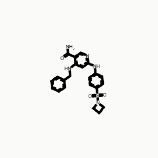 NC(=O)c1cnc(Nc2ccc(S(=O)(=O)N3CCC3)cc2)cc1NCc1ccccc1